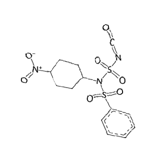 O=C=NS(=O)(=O)N(C1CCC([N+](=O)[O-])CC1)S(=O)(=O)c1ccccc1